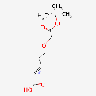 CC(C)(C)OC(=O)COCC/C=C/C(=O)O